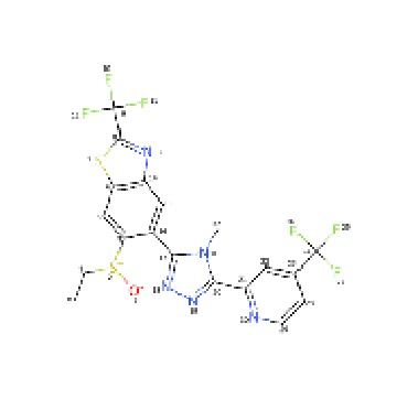 CC[S+]([O-])c1cc2sc(C(F)(F)F)nc2cc1-c1nnc(-c2cc(C(F)(F)F)ccn2)n1C